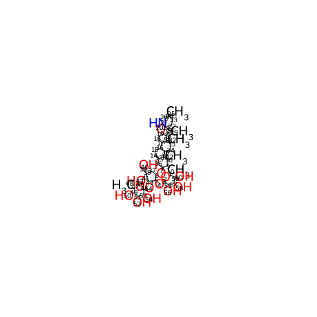 CC1OC(OC2C(OC3CC[C@@]4(C)C(=CCC5C6CC7OC8(CC[C@@H](C)CN8)[C@@H](C)C7[C@@]6(C)CCC54)C3)CC(CO)C(O)C2OC2OC(C)C(O)C(O)C2O)C(O)C(O)C1O